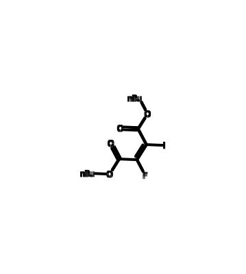 CCCCOC(=O)/C(F)=C(/I)C(=O)OCCCC